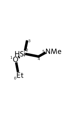 CCO[SiH](C)CNC